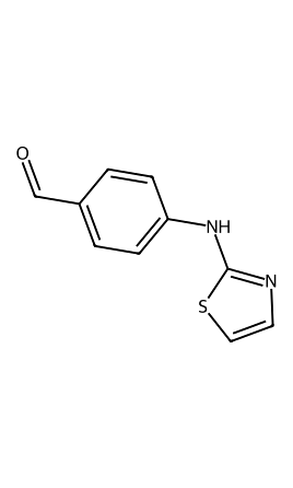 O=Cc1ccc(Nc2nccs2)cc1